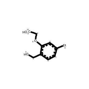 CCc1ccc(CO)c(OCC(=O)O)c1